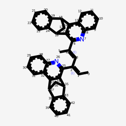 C/C=C(\C=C(/C)c1nc2ccccc2c2c1C1CC2c2ccccc21)c1nc2ccccc2c2c1C1CC2c2ccccc21